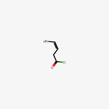 CCC/C=C\CC(=O)Cl